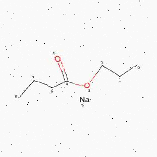 CCCOC(=O)CCC.[Na]